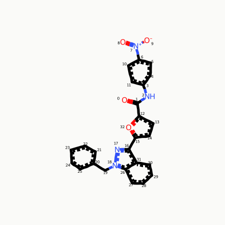 O=C(Nc1ccc([N+](=O)[O-])cc1)c1ccc(-c2nn(Cc3ccccc3)c3ccccc23)o1